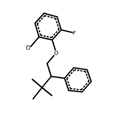 CC(C)(C)C(COc1c(F)cccc1Cl)c1ccccc1